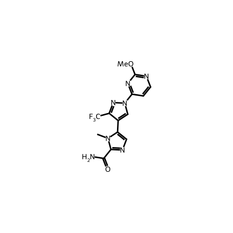 COc1nccc(-n2cc(-c3cnc(C(N)=O)n3C)c(C(F)(F)F)n2)n1